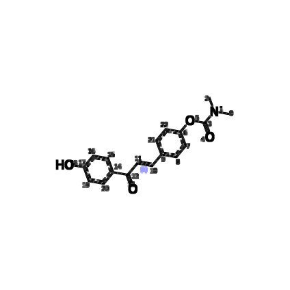 CN(C)C(=O)Oc1ccc(/C=C/C(=O)c2ccc(O)cc2)cc1